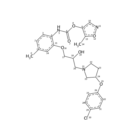 Cc1ccc(NC(=O)Oc2cnoc2C)c(OCC(O)CN2CCC(Oc3ccc(Cl)cc3)C2)c1